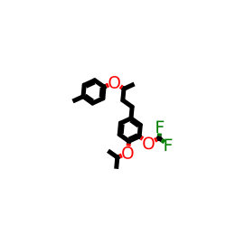 Cc1ccc(OC(C)CCc2ccc(OC(C)C)c(OC(F)F)c2)cc1